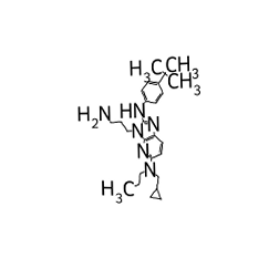 CCCN(CC1CC1)c1ccc2nc(Nc3ccc(C(C)(C)C)cc3)n(CCCN)c2n1